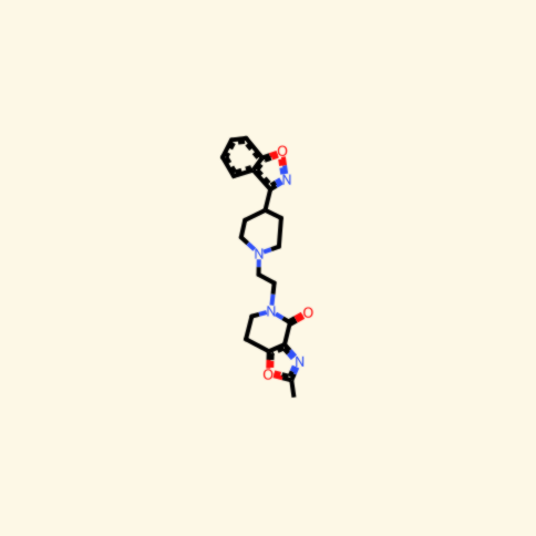 Cc1nc2c(o1)CCN(CCN1CCC(c3noc4ccccc34)CC1)C2=O